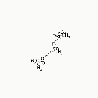 C=C(C)C(=O)OCCCCCCOc1ccc(/C=C/C(=O)OC(C)(C)C)cc1OC